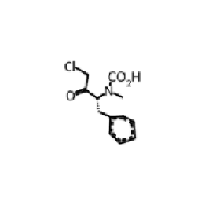 CN(C(=O)O)[C@H](Cc1ccccc1)C(=O)CCl